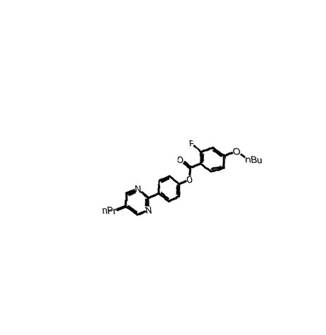 CCCCOc1ccc(C(=O)Oc2ccc(-c3ncc(CCC)cn3)cc2)c(F)c1